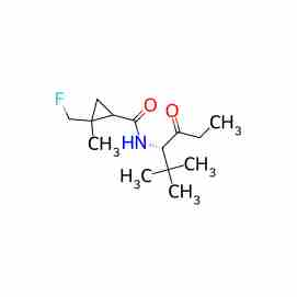 CCC(=O)[C@@H](NC(=O)C1CC1(C)CF)C(C)(C)C